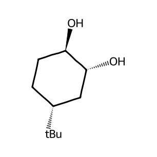 CC(C)(C)[C@@H]1CC[C@@H](O)[C@H](O)C1